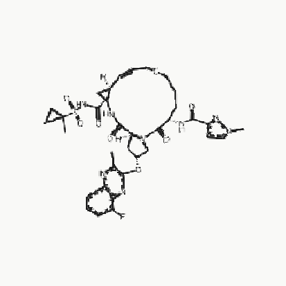 Cc1nc2cccc(F)c2nc1O[C@@H]1C[C@H]2C(=O)N[C@]3(C(=O)NS(=O)(=O)C4(C)CC4)C[C@H]3C=CCCCCC[C@H](NC(=O)c3ccn(C)n3)C(=O)N2C1